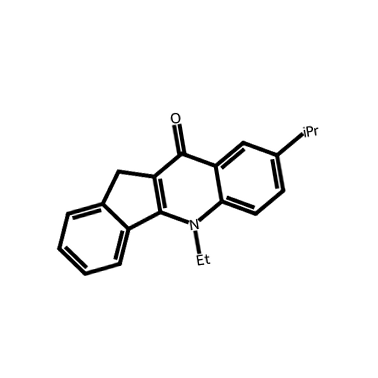 CCn1c2c(c(=O)c3cc(C(C)C)ccc31)Cc1ccccc1-2